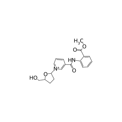 COC(=O)c1ccccc1NC(=O)c1ccc[n+](C2CCC(CO)O2)c1